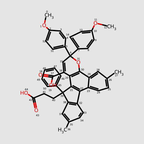 COc1ccc(C2(c3ccc(OC)cc3)C=C(C(=O)O)c3c4c(c5ccc(C)cc5c3O2)-c2ccc(C)cc2C4(CCC(=O)O)c2ccccc2)cc1